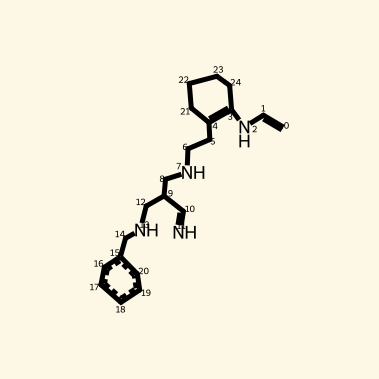 C=CNC1=C(CCNCC(C=N)CNCc2ccccc2)CCCC1